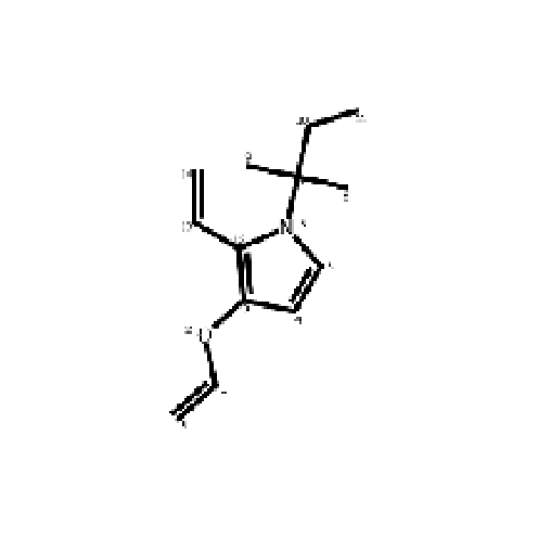 C=COc1ccn(C(C)(C)CC)c1C=C